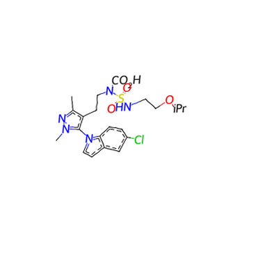 Cc1nn(C)c(-n2ccc3cc(Cl)ccc32)c1CCN(C(=O)O)S(=O)(=O)NCCOC(C)C